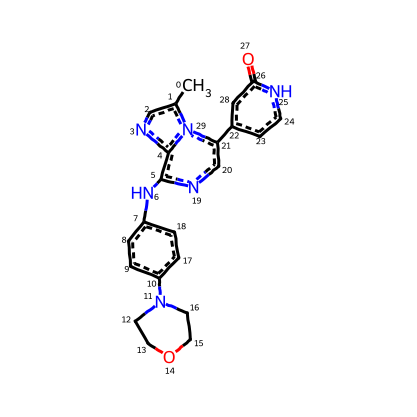 Cc1cnc2c(Nc3ccc(N4CCOCC4)cc3)ncc(-c3cc[nH]c(=O)c3)n12